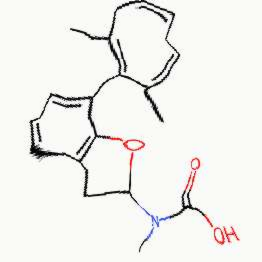 Cc1cccc(C)c1-c1cccc2c1OC(N(C)C(=O)O)C2